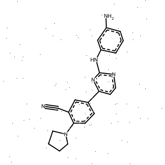 N#Cc1cc(-c2ccnc(Nc3cccc(N)c3)n2)ccc1N1CCCC1